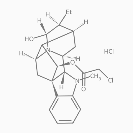 CC[C@@H]1[C@@H](O)N2[C@H]3C[C@@]45c6ccccc6N(C)[C@H]4[C@@H]2C[C@H]1C3[C@H]5OC(=O)CCl.Cl